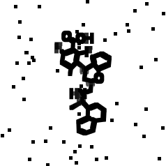 Cc1cc(F)c(C(=O)O)c(F)c1[C@@H]1C[C@H](CN[C@H](C)c2cccc3ccccc23)Oc2ccccc21